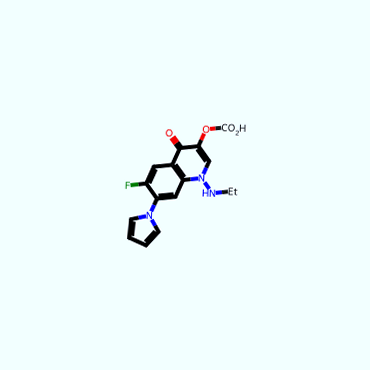 CCNn1cc(OC(=O)O)c(=O)c2cc(F)c(-n3cccc3)cc21